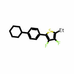 CCc1sc(-c2ccc(C3CCCCC3)cc2)c(F)c1F